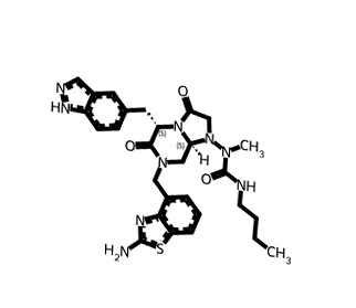 CCCCNC(=O)N(C)N1CC(=O)N2[C@@H](Cc3ccc4[nH]ncc4c3)C(=O)N(Cc3cccc4sc(N)nc34)C[C@@H]21